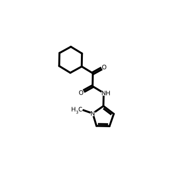 Cn1cccc1NC(=O)C(=O)C1CCCCC1